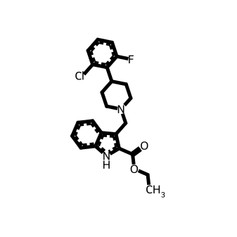 CCOC(=O)c1[nH]c2ccccc2c1CN1CCC(c2c(F)cccc2Cl)CC1